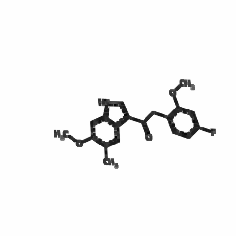 COc1cc2[nH]cc(C(=O)Cc3ccc(F)cc3OC)c2cc1C